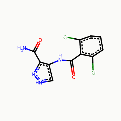 NC(=O)c1n[nH]cc1NC(=O)c1c(Cl)cccc1Cl